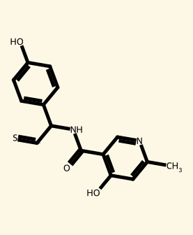 Cc1cc(O)c(C(=O)NC([C]=S)c2ccc(O)cc2)cn1